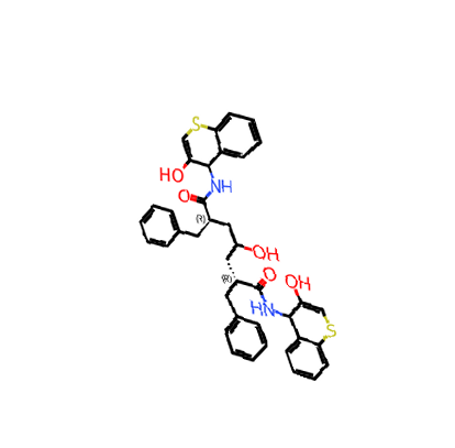 O=C(NC1C(O)=CSc2ccccc21)[C@H](Cc1ccccc1)CC(O)C[C@@H](Cc1ccccc1)C(=O)NC1C(O)=CSc2ccccc21